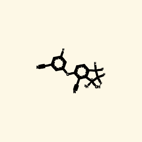 [2H][C@@]1(O)c2c(ccc(Oc3cc(F)cc(C#N)c3)c2C#N)C(F)(F)C1(F)F